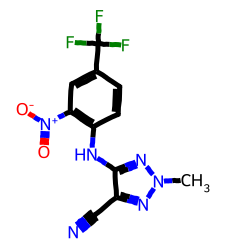 Cn1nc(C#N)c(Nc2ccc(C(F)(F)F)cc2[N+](=O)[O-])n1